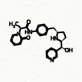 C[C@@H](C(=O)Nc1ccc(C[C@@H]2CC[C@H]([C@H](O)c3cccnc3)N2)cc1)n1ccccc1=O